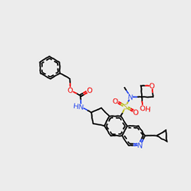 CN(C1(O)COC1)S(=O)(=O)c1c2c(cc3cnc(C4CC4)cc13)CC(NC(=O)OCc1ccccc1)C2